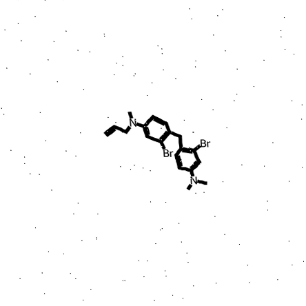 C=CCN(C)c1ccc(Cc2ccc(N(C)C)cc2Br)c(Br)c1